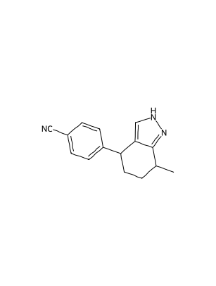 CC1CCC(c2ccc(C#N)cc2)c2c[nH]nc21